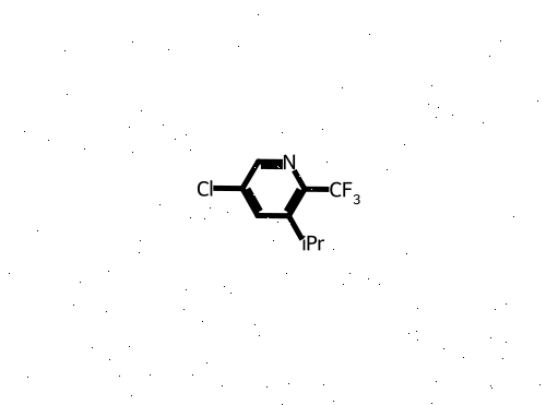 CC(C)c1cc(Cl)cnc1C(F)(F)F